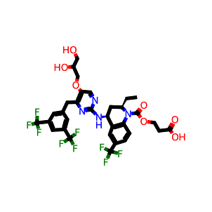 CC[C@@H]1C[C@H](Nc2ncc(OCC(O)CO)c(Cc3cc(C(F)(F)F)cc(C(F)(F)F)c3)n2)c2cc(C(F)(F)F)ccc2N1C(=O)OCCC(=O)O